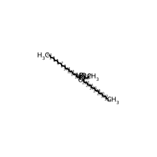 CCCCCCCCCCCCCCCCCC(=O)OC(CCCCCCCCCCCCCC)C(O)CC